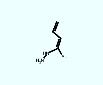 C=C/C=C(\NN)C(C)=O